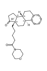 O=C(CCCC[C@]12CC[C@@H]3c4ccccc4CC[C@H]3[C@@H]1CCC2=O)N1CCOCC1